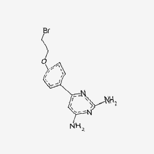 Nc1cc(-c2ccc(OCCBr)cc2)nc(N)n1